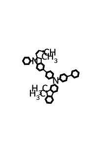 C#C/C=C\C1C(C)c2cc(-c3ccc(N(c4ccc(-c5ccccc5)cc4)c4ccc5c(c4)C(C)(C)c4ccccc4-5)cc3)ccc2N1c1ccccc1